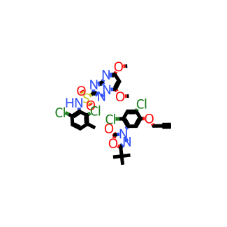 C#CCOc1cc(-n2nc(C(C)(C)C)oc2=O)c(Cl)cc1Cl.COc1cc(OC)n2nc(S(=O)(=O)Nc3c(Cl)ccc(C)c3Cl)nc2n1